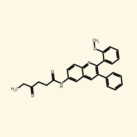 CCC(=O)CCC(=O)Nc1ccc2nc(-c3ccccc3OC)c(-c3ccccc3)cc2c1